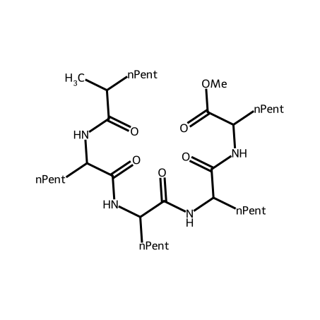 CCCCCC(C)C(=O)NC(CCCCC)C(=O)NC(CCCCC)C(=O)NC(CCCCC)C(=O)NC(CCCCC)C(=O)OC